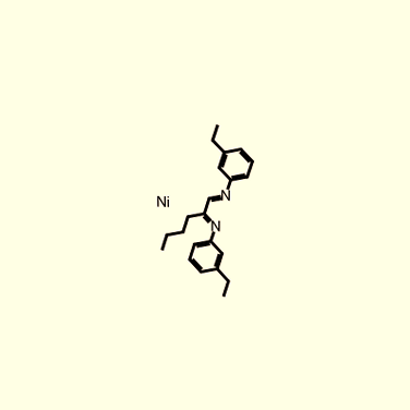 CCCCC(C=Nc1cccc(CC)c1)=Nc1cccc(CC)c1.[Ni]